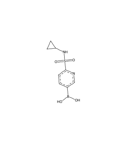 O=S(=O)(NC1CC1)c1ccc(B(O)O)cn1